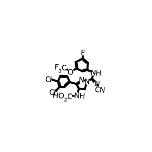 N#C/N=C(/Nc1cc(F)cc(OC(F)(F)F)c1)N1CC(NC(=O)O)C(c2ccc(Cl)c(Cl)c2)=N1